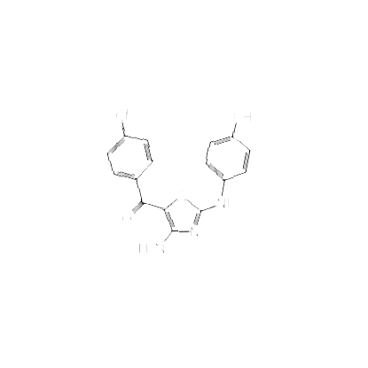 Cc1ccc(Nc2nc(N)c(C(=O)c3ccc(Cl)cc3)s2)cc1